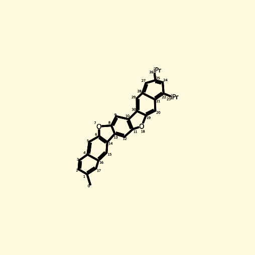 Cc1ccc2cc3oc4cc5c(cc4c3cc2c1)oc1cc2c(C(C)C)cc(C(C)C)cc2cc15